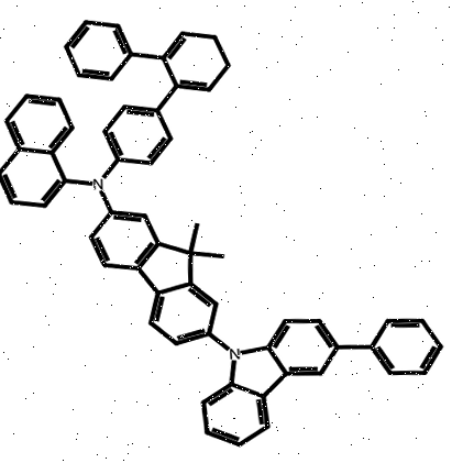 CC1(C)c2cc(N(c3ccc(C4=CCCC=C4c4ccccc4)cc3)c3cccc4ccccc34)ccc2-c2ccc(-n3c4ccccc4c4cc(-c5ccccc5)ccc43)cc21